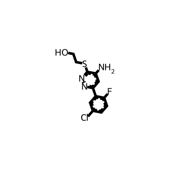 Nc1cc(-c2cc(Cl)ccc2F)nnc1SCCO